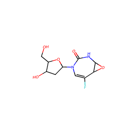 O=C1NC2OC2C(F)=CN1C1CC(O)C(CO)O1